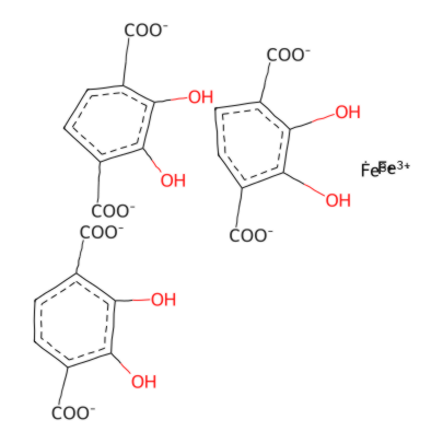 O=C([O-])c1ccc(C(=O)[O-])c(O)c1O.O=C([O-])c1ccc(C(=O)[O-])c(O)c1O.O=C([O-])c1ccc(C(=O)[O-])c(O)c1O.[Fe+3].[Fe+3]